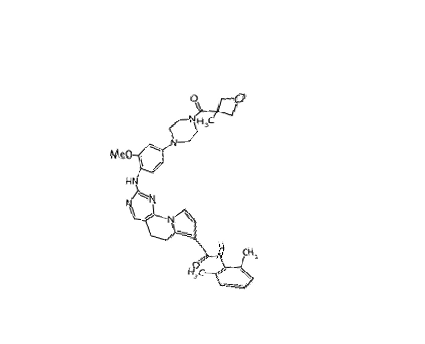 COc1cc(N2CCN(C(=O)C3(C)COC3)CC2)ccc1Nc1ncc2c(n1)-n1ccc(C(=O)Nc3c(C)cccc3C)c1CC2